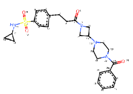 O=C(CCc1ccc(S(=O)(=O)NC2CC2)cc1)N1CC(N2CCN(C(=O)c3ccccc3)CC2)C1